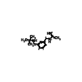 CC(=N)NCc1cccc(CNC(C)(C)C)n1